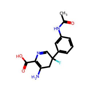 CC(=O)Nc1cccc(C2(F)C=NC(C(=O)O)=C(N)C2)c1